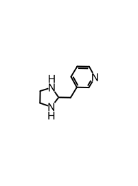 c1cncc(CC2NCCN2)c1